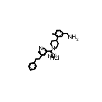 Cc1ccc(CN)cc1C1CCN(C(=O)c2cncc(CCc3ccccc3)c2)CC1.Cl.Cl